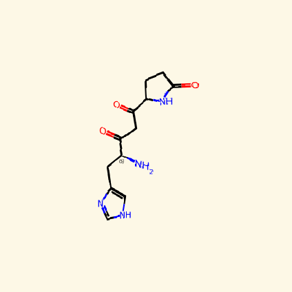 N[C@@H](Cc1c[nH]cn1)C(=O)CC(=O)C1CCC(=O)N1